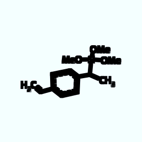 C=Cc1ccc(C(C)[Si](OC)(OC)OC)cc1